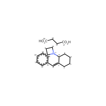 C(=C1\CCCCC1N1CCC1)/c1ccccc1.O=C(O)CCC(=O)O